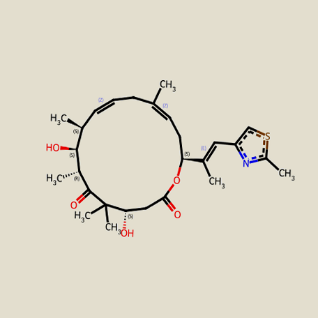 C/C1=C/C[C@@H](/C(C)=C/c2csc(C)n2)OC(=O)C[C@H](O)C(C)(C)C(=O)[C@H](C)[C@@H](O)[C@@H](C)/C=C\C1